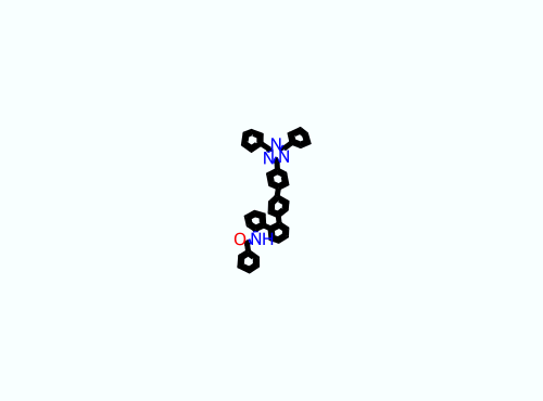 O=C(Nc1ccccc1-c1ccccc1-c1ccc(-c2ccc(-c3nc(-c4ccccc4)nc(-c4ccccc4)n3)cc2)cc1)c1ccccc1